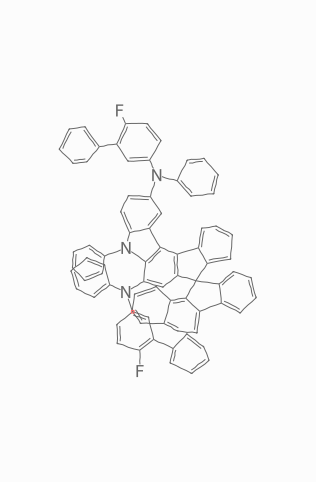 Fc1ccc(N(c2ccccc2)c2ccc3c(c2)c2c4c(cc(N(c5ccccc5)c5ccc(F)c(-c6ccccc6)c5)c2n3-c2ccccc2)C2(c3ccccc3-c3ccc5ccccc5c32)c2ccccc2-4)cc1-c1ccccc1